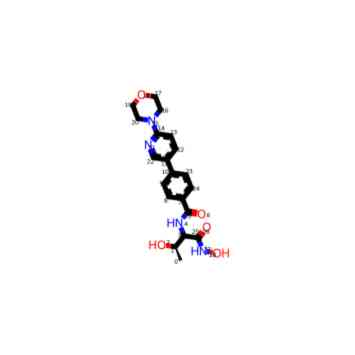 C[C@@H](O)C(NC(=O)c1ccc(-c2ccc(N3CCOCC3)nc2)cc1)C(=O)NO